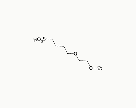 CCOCCOCCCCS(=O)(=O)O